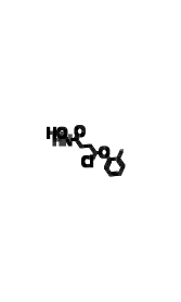 Cc1ccccc1OC(Cl)CCC(=O)NO